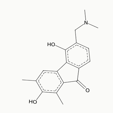 Cc1cc2c(c(C)c1O)C(=O)c1ccc(CN(C)C)c(O)c1-2